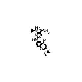 COC(C)O[C@@H]1CNc2cc(Nc3ncc(C(N)=O)c(NC4CC4)n3)ccc2OC1